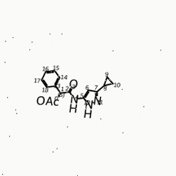 CC(=O)O[C@H](C(=O)Nc1cc(C2CC2)n[nH]1)c1ccccc1